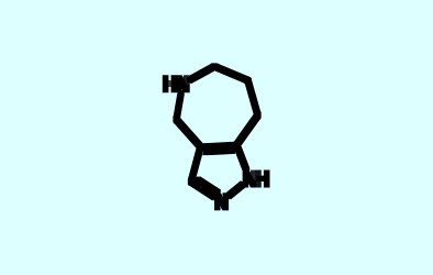 c1n[nH]c2c1CNCCC2